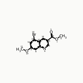 COC(=O)c1cnc2cc(OC)cc(Br)c2c1